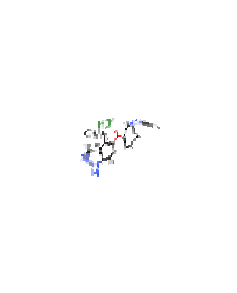 CCNC1CCCC(Oc2ccc3[nH]ncc3c2OC)C1.Cl